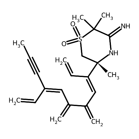 C=C/C(C#CC)=C\C(=C)C(=C)/C=C(\C=C)[C@]1(C)CS(=O)(=O)C(C)(C)C(=N)N1